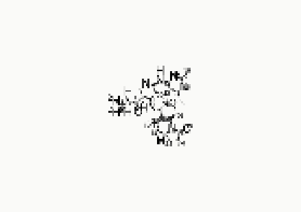 [2H]C([2H])([2H])NC(=O)c1cnc(Nc2cc(C)nc(C)n2)cc1Nc1cccc2c1N(C)C[C@@H]1CCC(=O)N21